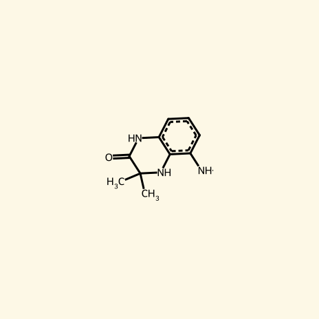 CC1(C)Nc2c([NH])cccc2NC1=O